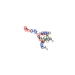 Cc1c(Cl)c2c(Cl)c(C)c1-c1c(C3CCCCC3)sc3ncnc(c13)O[C@@H](C(=O)O)Cc1cc(ccc1OCc1ccnc(-c3ccc(OC[C@@H]4COCCO4)cc3)n1)OC[C@@H](CN1CCN(C)CC1)O2